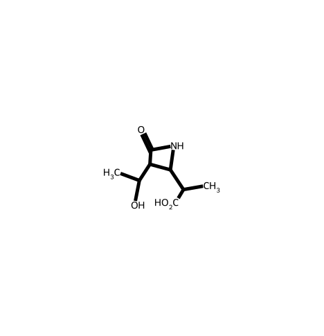 CC(O)C1C(=O)NC1C(C)C(=O)O